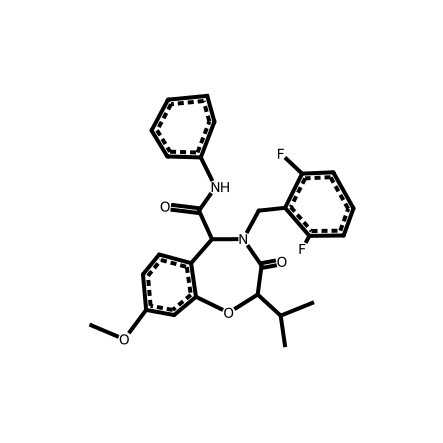 COc1ccc2c(c1)OC(C(C)C)C(=O)N(Cc1c(F)cccc1F)C2C(=O)Nc1ccccc1